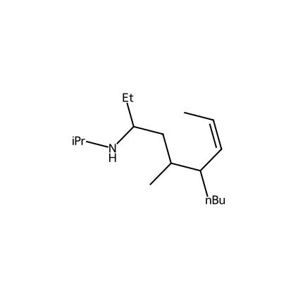 C/C=C\C(CCCC)C(C)CC(CC)NC(C)C